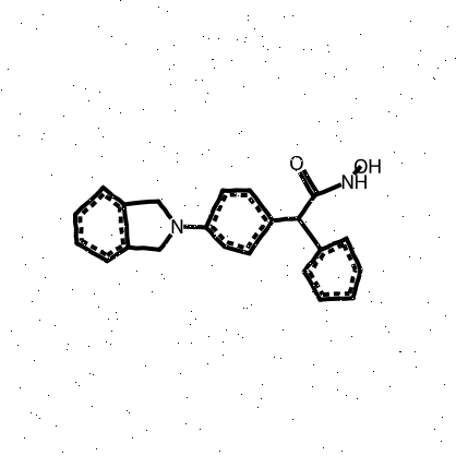 O=C(NO)C(c1ccccc1)c1ccc(N2Cc3ccccc3C2)cc1